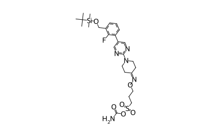 CC(C)(C)[Si](C)(C)OCc1cccc(-c2cnc(N3CCC(=NOCCCS(=O)(=O)OC(N)=O)CC3)nc2)c1F